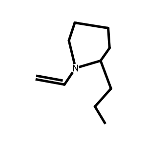 C=CN1CCCCC1CCC